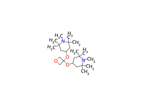 CN1C(C)(C)CC(OC2(OC3CC(C)(C)N(C)C(C)(C)C3)COC2)CC1(C)C